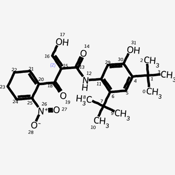 CC(C)(C)c1cc(C(C)(C)C)c(NC(=O)/C(=C\O)C(=O)C2=CCCC=C2[N+](=O)[O-])cc1O